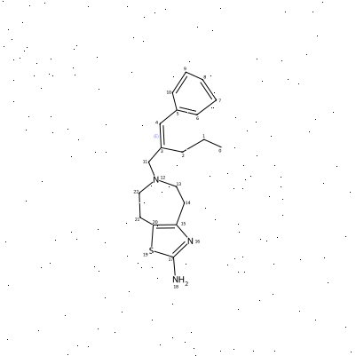 CCC/C(=C\c1ccccc1)CN1CCc2nc(N)sc2CC1